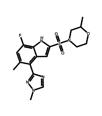 Cc1cc(F)c2[nH]c(S(=O)(=O)N3CCOC(C)C3)cc2c1-c1ncn(C)n1